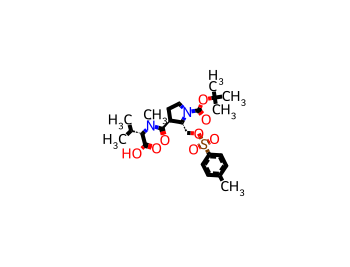 Cc1ccc(S(=O)(=O)OC[C@@H]2[C@@H](C(=O)N(C)[C@H](C(=O)O)C(C)C)CCN2C(=O)OC(C)(C)C)cc1